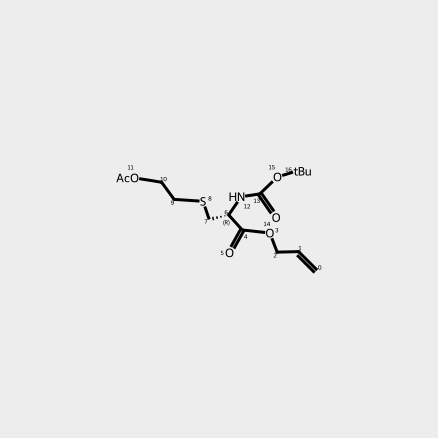 C=CCOC(=O)[C@H](CSCCOC(C)=O)NC(=O)OC(C)(C)C